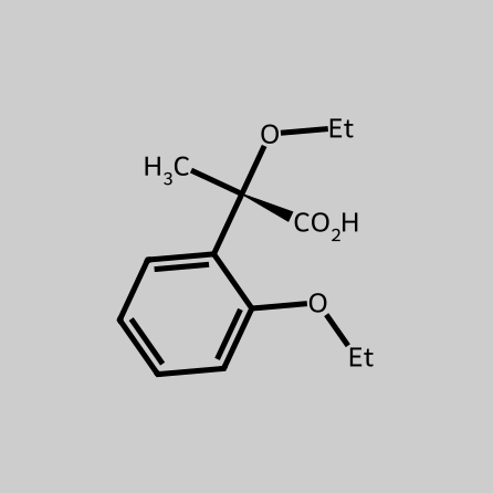 CCOc1ccccc1[C@](C)(OCC)C(=O)O